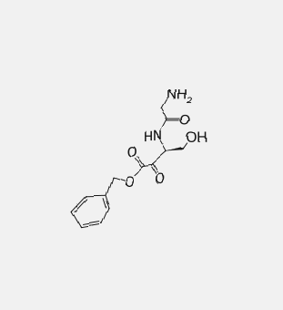 NCC(=O)N[C@@H](CO)C(=O)C(=O)OCc1ccccc1